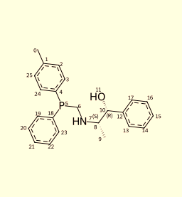 Cc1ccc(P(CN[C@@H](C)[C@H](O)c2ccccc2)c2ccccc2)cc1